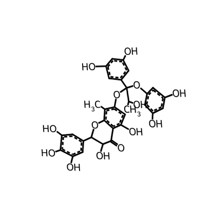 Cc1c(OC(Oc2cc(O)cc(O)c2)(c2cc(O)cc(O)c2)C(C)O)cc(O)c2c1OC(c1cc(O)c(O)c(O)c1)C(O)C2=O